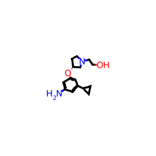 Nc1cc(O[C@@H]2CCN(CCO)C2)cc(C2CC2)c1